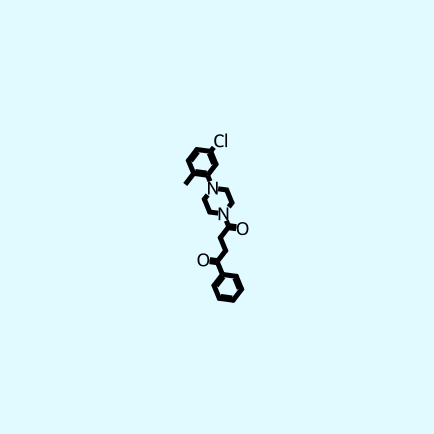 Cc1ccc(Cl)cc1N1CCN(C(=O)CCC(=O)c2ccccc2)CC1